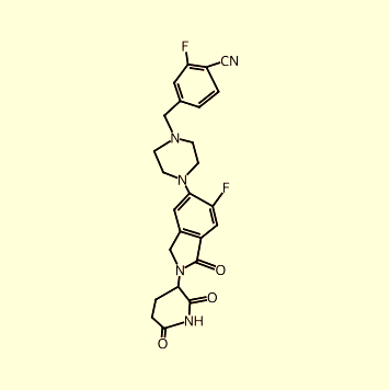 N#Cc1ccc(CN2CCN(c3cc4c(cc3F)C(=O)N(C3CCC(=O)NC3=O)C4)CC2)cc1F